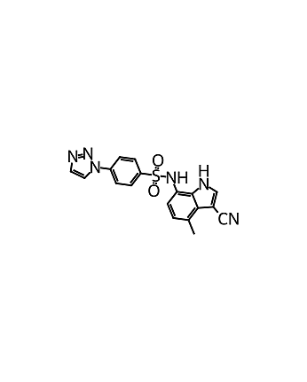 Cc1ccc(NS(=O)(=O)c2ccc(-n3ccnn3)cc2)c2[nH]cc(C#N)c12